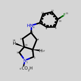 O=C(O)N1C[C@H]2CC(Nc3ccc(F)cc3)C[C@H]2C1